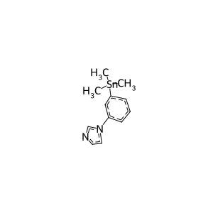 [CH3][Sn]([CH3])([CH3])[c]1cccc(-n2ccnc2)c1